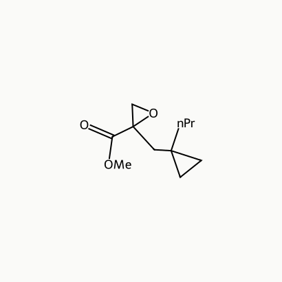 CCCC1(CC2(C(=O)OC)CO2)CC1